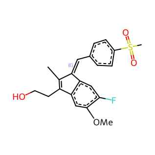 COc1cc2c(cc1F)/C(=C\c1ccc(S(C)(=O)=O)cc1)C(C)=C2CCO